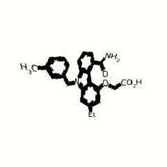 CCc1cc(OCC(=O)O)c2c3c(C(N)=O)cccc3n(Cc3cccc(C)c3)c2c1